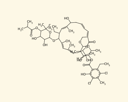 CCc1c(Cl)c(C)c(Cl)c(O)c1C(=O)OC1C(C)OC(OC/C2=C\C=C\CC(O)/C(C)=C/C(CC)C(OC3OC(C)(C)C(OC(=O)C(C)C)C(O)C3O)/C(C)=C/C(C)=C/CC(C(C)(C)O)OC2=O)C(C)C1O